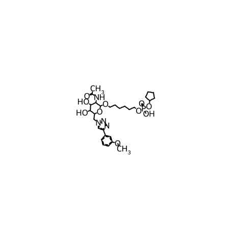 COc1cccc(-c2cn(CC3OC(OCCCCCCOP(=O)(O)OC4CCCC4)C(NC(C)=O)C(O)C3O)nn2)c1